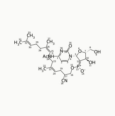 CC(=O)Nc1ccn([C@@H]2O[C@H](CO)[C@@H](O)C2=[P+]([O-])OCC(C#N)CC=C(C)CCC=C(C)CCC=C(C)C)c(=O)n1